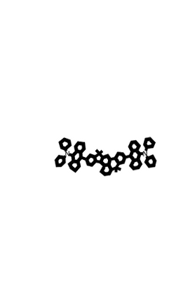 CC1(C)c2cc(-c3c4ccccc4c(N(c4ccccc4)c4ccccc4)c4ccccc34)ccc2-c2c1cc1c3c(cccc23)C(C)(C)c2cc(-c3c4ccccc4c(N(c4ccccc4)c4ccccc4)c4ccccc34)ccc2-1